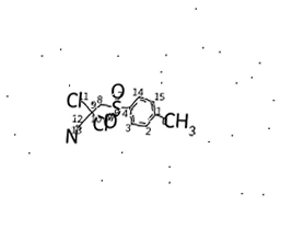 Cc1ccc(S(=O)(=O)CC(Cl)(Cl)C#N)cc1